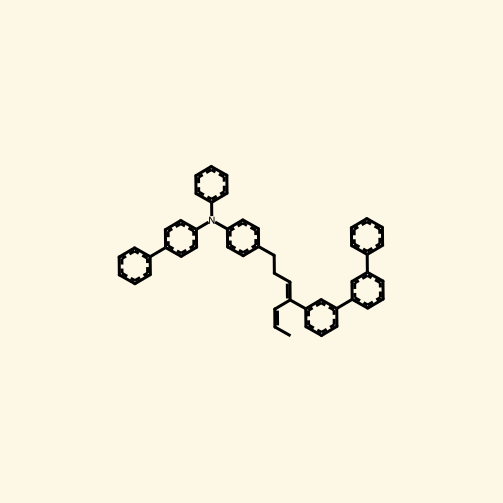 C/C=C\C(=C/CCc1ccc(N(c2ccccc2)c2ccc(-c3ccccc3)cc2)cc1)c1cccc(-c2cccc(-c3ccccc3)c2)c1